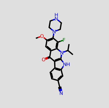 COc1cc2c(=O)c3c4ccc(C#N)cc4[nH]c3n(C(C)C)c2c(F)c1N1CCNCC1